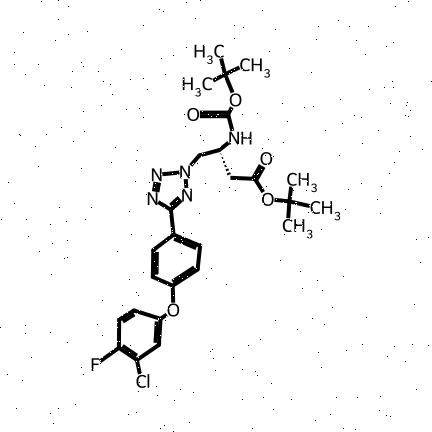 CC(C)(C)OC(=O)C[C@H](Cn1nnc(-c2ccc(Oc3ccc(F)c(Cl)c3)cc2)n1)NC(=O)OC(C)(C)C